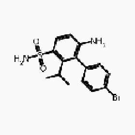 CC(C)c1c(S(N)(=O)=O)ccc(N)c1-c1ccc(Br)cc1